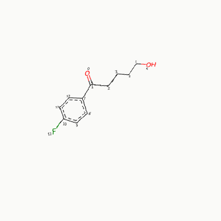 O=C(CCCCO)c1ccc(F)cc1